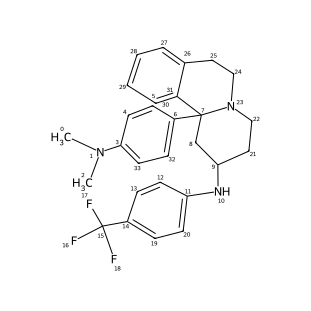 CN(C)c1ccc(C23CC(Nc4ccc(C(F)(F)F)cc4)CCN2CCc2ccccc23)cc1